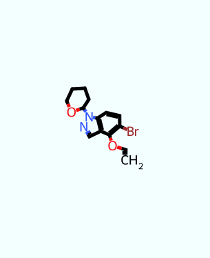 C=COc1c(Br)ccc2c1cnn2C1CCCCO1